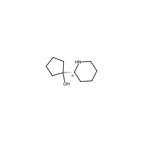 OC1([C@H]2CCCCN2)CCCC1